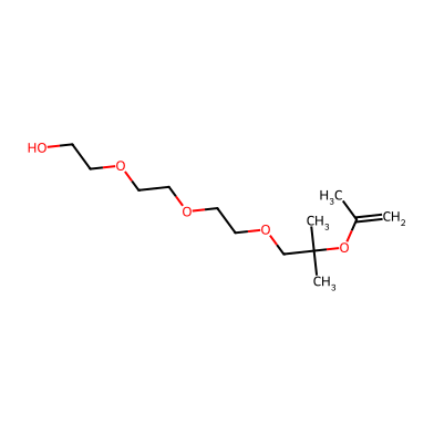 C=C(C)OC(C)(C)COCCOCCOCCO